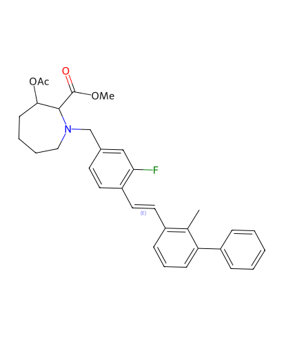 COC(=O)C1C(OC(C)=O)CCCCN1Cc1ccc(/C=C/c2cccc(-c3ccccc3)c2C)c(F)c1